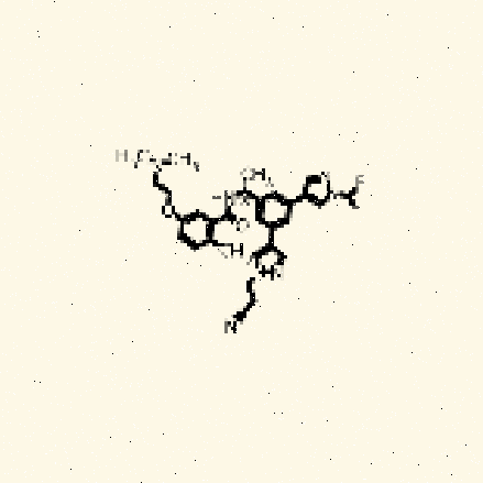 Cc1ccc(OCCN(C)C)cc1C(=O)N[C@H](C)c1cc(-c2cnn(CCC#N)c2)cc(-c2cnn(C(F)F)c2)c1